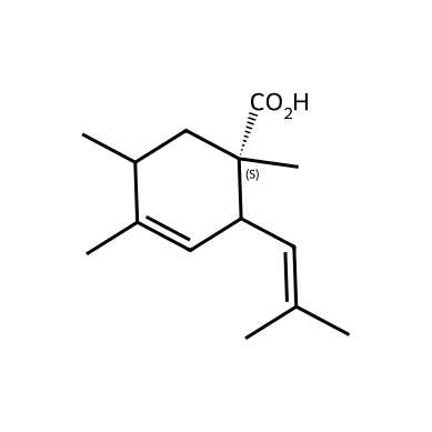 CC(C)=CC1C=C(C)C(C)C[C@]1(C)C(=O)O